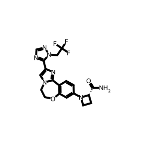 NC(=O)[C@@H]1CCN1c1ccc2c(c1)OCCn1cc(-c3ncnn3CC(F)(F)F)nc1-2